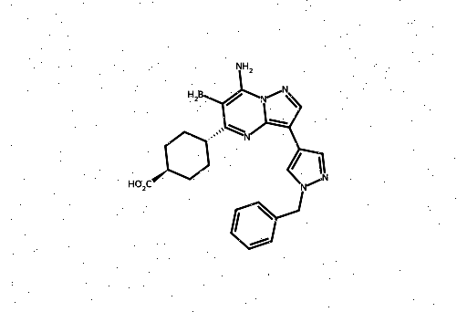 Bc1c(N)n2ncc(-c3cnn(Cc4ccccc4)c3)c2nc1[C@H]1CC[C@H](C(=O)O)CC1